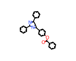 O=C(Oc1ccc(C2C3C(c4ccccc4)=NC(c4ccccc4)N32)cc1)c1ccccc1